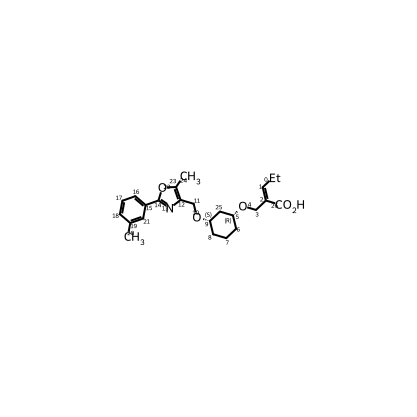 CCC=C(CO[C@@H]1CCC[C@H](OCc2nc(-c3cccc(C)c3)oc2C)C1)C(=O)O